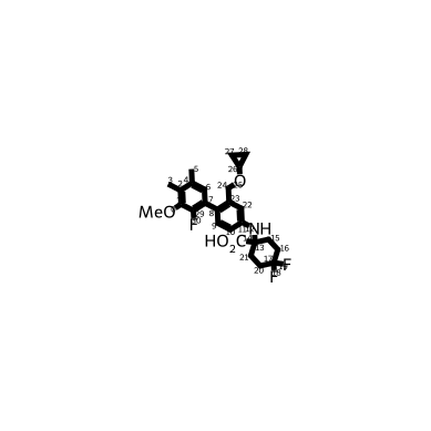 COc1c(C)c(C)cc(-c2ccc(NC3(C(=O)O)CCC(F)(F)CC3)cc2COC2CC2)c1F